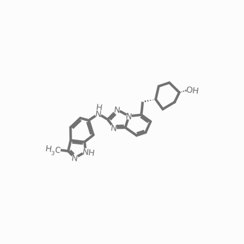 Cc1n[nH]c2cc(Nc3nc4cccc(C[C@H]5CC[C@@H](O)CC5)n4n3)ccc12